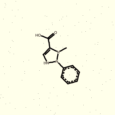 CN1C(C(=O)O)=CNN1c1ccccc1